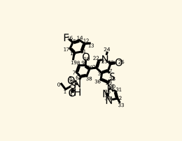 CCS(=O)(=O)Nc1ccc(Oc2c(C)cc(F)cc2C)c(-c2cn(C)c(=O)c3sc(-n4cc(C)nn4)cc23)c1